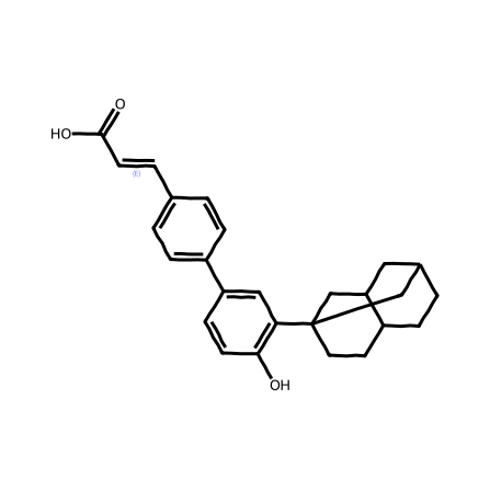 O=C(O)/C=C/c1ccc(-c2ccc(O)c(C34CCC5CCC(CC5C3)C4)c2)cc1